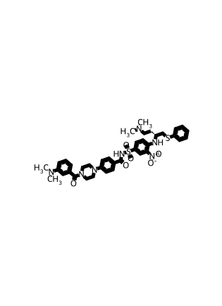 CN(C)CC[C@H](CSc1ccccc1)Nc1ccc(S(=O)(=O)NC(=O)c2ccc(N3CCN(C(=O)c4cccc(N(C)C)c4)CC3)cc2)cc1[N+](=O)[O-]